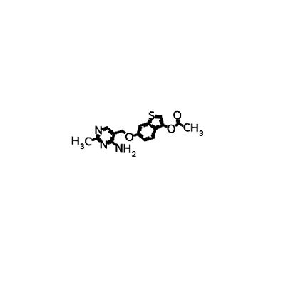 CC(=O)Oc1csc2cc(OCc3cnc(C)nc3N)ccc12